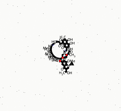 C=C(O)c1cn(C2CC2)c2c(OC)c(N3CCN(/N=C/c4c5c(O)c6c(O)c(C)c7c(c6c4O)C(=O)[C@@](C)(O/C=C/[C@H](OC)[C@@H](C)[C@@H](OC(C)=O)[C@H](C)[C@H](O)[C@H](C)[C@@H](O)[C@@H](C)/C=C/C=C(/C)C(=O)N5)O7)CC3)c(F)cc2c1=O